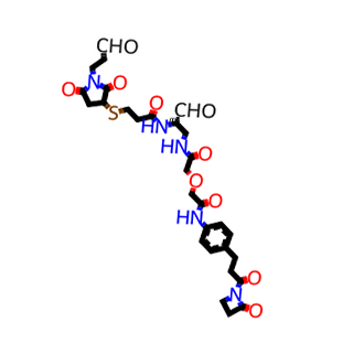 O=CCCN1C(=O)CC(SCCC(=O)N[C@@H](C=O)CNC(=O)COCC(=O)Nc2ccc(CCC(=O)N3CCC3=O)cc2)C1=O